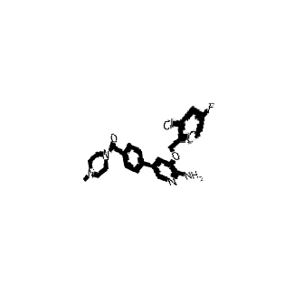 CN1CCN(C(=O)c2ccc(-c3cnc(N)c(OCc4ccc(F)cc4Cl)c3)cc2)CC1